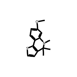 COc1ccc2c(c1)N(C)C(C)(C)c1ccsc1-2